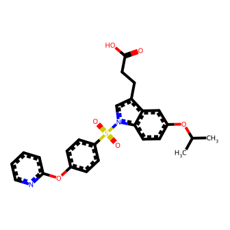 CC(C)Oc1ccc2c(c1)c(CCC(=O)O)cn2S(=O)(=O)c1ccc(Oc2ccccn2)cc1